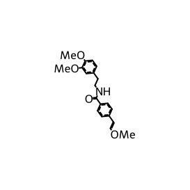 COC=Cc1ccc(C(=O)NCCc2ccc(OC)c(OC)c2)cc1